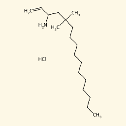 C=CC(N)CC(C)(C)CCCCCCCCCCC.Cl